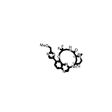 COCc1ncc(-c2ccc3ncc4nc3c2OCC(F)(F)CNC(=O)[C@@H]2C[C@H](CCN2C)N4)s1